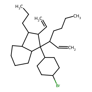 C=CC(CCCC)C1(C2CCC(Br)CC2)C(C=C)C(CCC)C2CCCCC21